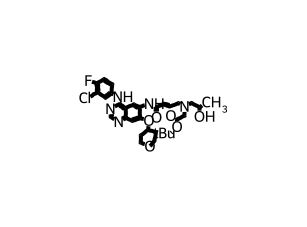 CC(O)CN(CC=CC(=O)Nc1cc2c(Nc3ccc(F)c(Cl)c3)ncnc2cc1OC1CCOCC1)CC(=O)OC(C)(C)C